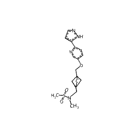 CN(CC12CC(COc3ccc(-c4ccn[nH]4)nc3)(C1)C2)S(C)(=O)=O